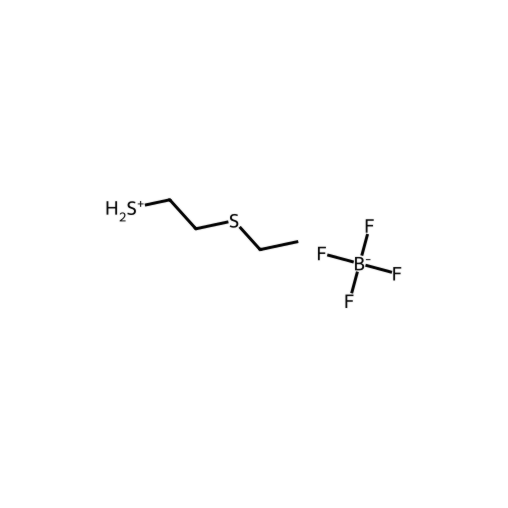 CCSCC[SH2+].F[B-](F)(F)F